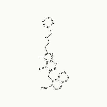 COc1ccc2ccccc2c1Cn1cnc2sc(CCNCc3ccccc3)c(C)c2c1=O